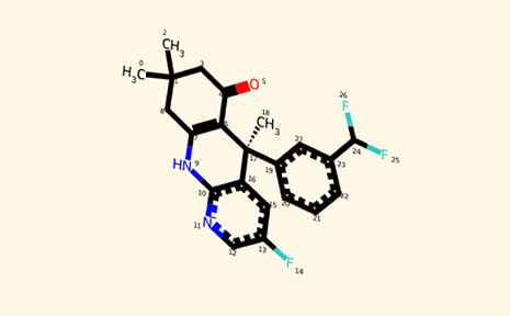 CC1(C)CC(=O)C2=C(C1)Nc1ncc(F)cc1[C@]2(C)c1cccc(C(F)F)c1